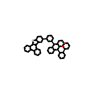 c1ccc(-c2ccccc2-c2c3ccccc3c(-c3cccc(-c4ccc5oc6c7ccccc7c7ccccc7c6c5c4)c3)c3ccccc23)cc1